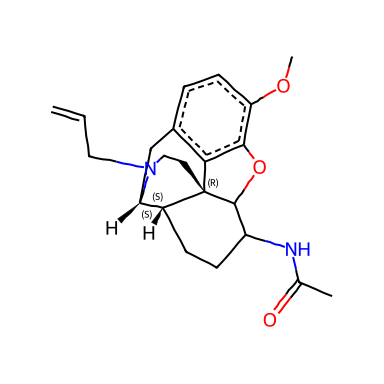 C=CCN1CC[C@@]23c4c5ccc(OC)c4OC2C(NC(C)=O)CC[C@@H]3[C@@H]1C5